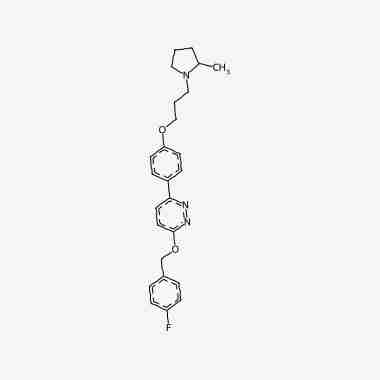 CC1CCCN1CCCOc1ccc(-c2ccc(OCc3ccc(F)cc3)nn2)cc1